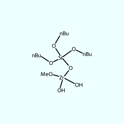 CCCCO[Si](OCCCC)(OCCCC)[O][Zr]([OH])([OH])[O]C